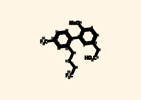 COc1ccc(CC(=O)O)cc1-c1ccc(C(F)(F)F)cc1CSCC(F)(F)F